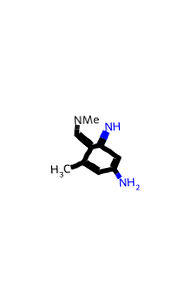 CN/C=C1\C(=N)C=C(N)C=C1C